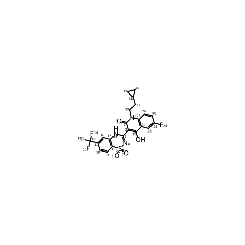 O=c1c(C2=NS(=O)(=O)c3ccc(C(F)(F)F)cc3N2)c(O)c2cc(F)ccc2n1CCC1CC1